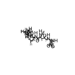 CC(=O)N[C@@H](CCCNC1NN1[N+](=O)[O-])C(=O)N[C@@H](CC(C)C)B1O[C@@H]2C[C@@H]3C[C@@H](C3(C)C)[C@]2(C)O1